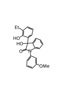 CCc1cccc(C2(O)C(=O)N(c3cccc(OC)c3)c3ccccc32)c1O